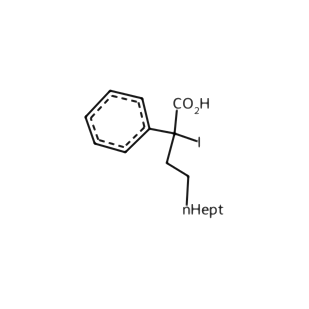 CCCCCCCCCC(I)(C(=O)O)c1ccccc1